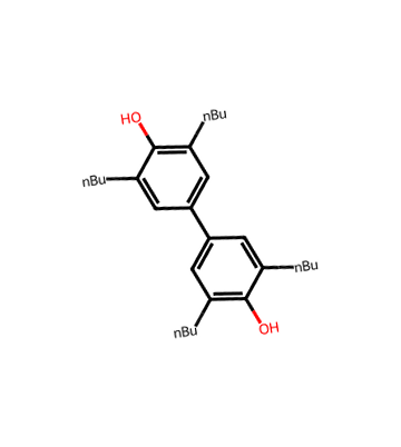 CCCCc1cc(-c2cc(CCCC)c(O)c(CCCC)c2)cc(CCCC)c1O